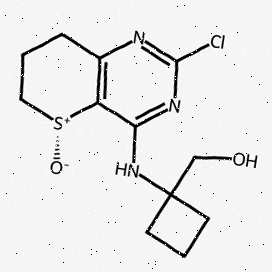 [O-][S@+]1CCCc2nc(Cl)nc(NC3(CO)CCC3)c21